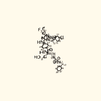 CC(CNC(=O)C(=O)NCC[C@H](NC(=O)c1ccc(Nc2nc(NC3(c4ccc(Cl)cc4)CC3)nc(OCC(F)(F)F)n2)cc1)C(=O)O)c1ccccc1